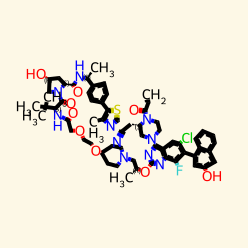 C=CC(=O)N1CCN(c2nc(O[C@H](C)CN3CCC(OCCOCC(=O)N[C@H](C(=O)N4C[C@H](O)C[C@H]4C(=O)N[C@@H](C)c4ccc(-c5scnc5C)cc4)C(C)(C)C)CC3)nc3c(F)c(-c4cc(O)cc5ccccc45)c(Cl)cc23)C[C@@H]1CC#N